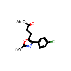 CCCc1nc(-c2ccc(Cl)cc2)c(CCC(=O)OC)o1